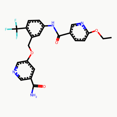 CCOc1ccc(C(=O)Nc2ccc(C(F)(F)F)c(COc3cncc(C(N)=O)c3)c2)cn1